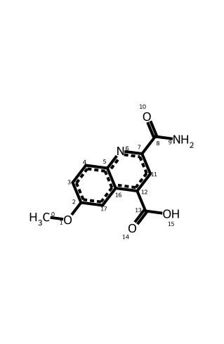 COc1ccc2nc(C(N)=O)cc(C(=O)O)c2c1